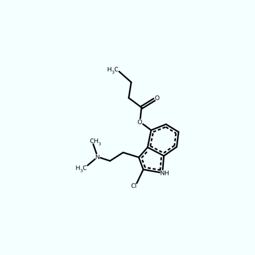 CCCC(=O)Oc1cccc2[nH]c(Cl)c(CCN(C)C)c12